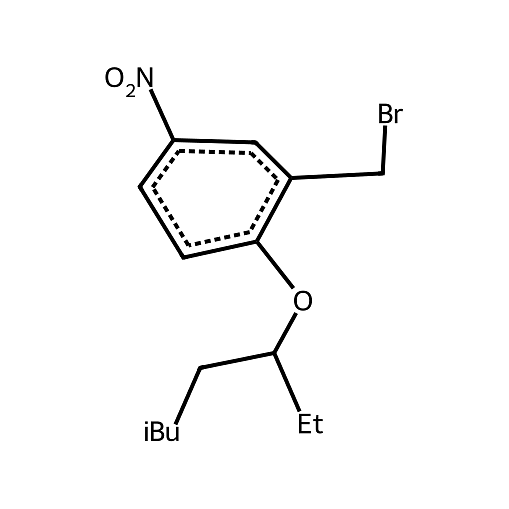 CCC(C)CC(CC)Oc1ccc([N+](=O)[O-])cc1CBr